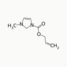 C=CCOC(=O)N1C=CN(C)C1